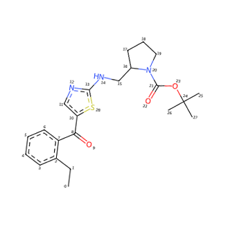 CCc1ccccc1C(=O)c1cnc(NCC2CCCN2C(=O)OC(C)(C)C)s1